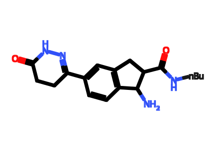 CCCCNC(=O)C1Cc2cc(C3=NNC(=O)CC3)ccc2C1N